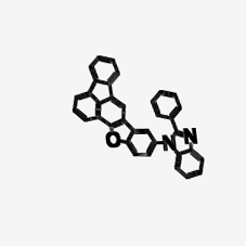 c1ccc(-c2nc3ccccc3n2-c2ccc3oc4c5cccc6c5c(cc4c3c2)-c2ccccc2-6)cc1